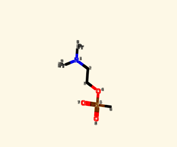 CC(C)N(CCOS(C)(=O)=O)C(C)C